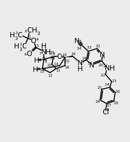 CC(C)(C)OC(=O)N[C@@H]1[C@@H]2CC3C[C@H]1C[C@@](CNc1nc(NCCc4ccc(Cl)cc4)ncc1C#N)(C3)C2